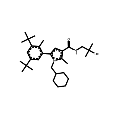 Cc1c(-c2cc(C(=O)NCC(C)(C)O)c(C)n2CC2CCCCC2)cc(C(C)(C)C)cc1C(C)(C)C